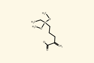 C=C(CCC[N+](CC)(OC)OC)C(=O)[O-]